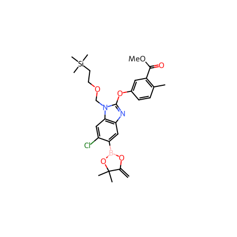 C=C1OB(c2cc3nc(Oc4ccc(C)c(C(=O)OC)c4)n(COCC[Si](C)(C)C)c3cc2Cl)OC1(C)C